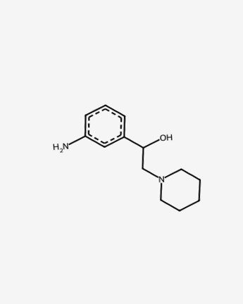 Nc1cccc(C(O)CN2CCCCC2)c1